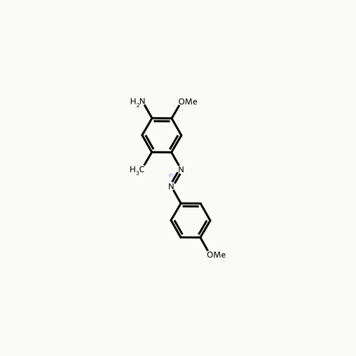 COc1ccc(/N=N/c2cc(OC)c(N)cc2C)cc1